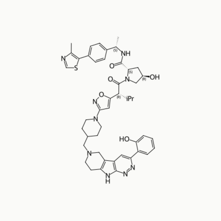 Cc1ncsc1-c1ccc([C@H](C)NC(=O)[C@@H]2C[C@@H](O)CN2C(=O)[C@@H](c2cc(N3CCC(CN4CCc5[nH]c6nnc(-c7ccccc7O)cc6c5C4)CC3)no2)C(C)C)cc1